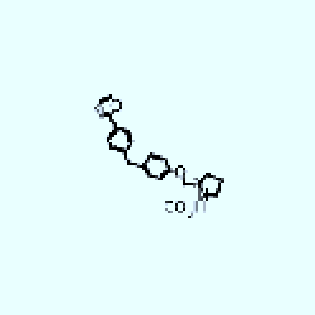 O=C(O)N1CCC[C@@H]1COc1ccc(Cc2ccc(-c3ncco3)cc2)cc1